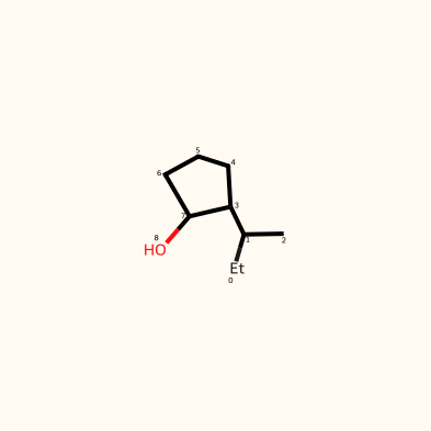 CCC(C)C1CCCC1O